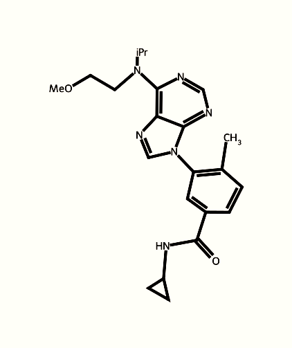 COCCN(c1ncnc2c1ncn2-c1cc(C(=O)NC2CC2)ccc1C)C(C)C